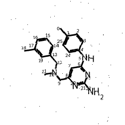 Cc1ccc(Nc2cc(CN(C)Cc3cccc(C)c3)nc(N)n2)cc1